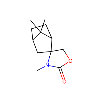 CN1C(=O)OCC12CC1CCC2C1(C)C